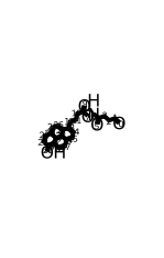 O=CCCC(=O)NOC(=O)CCCc1ccc2ccc3c(O)ccc4ccc1c2c43